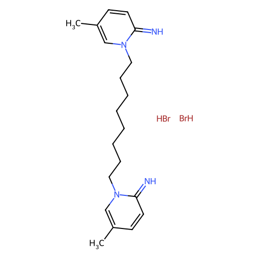 Br.Br.Cc1ccc(=N)n(CCCCCCCCn2cc(C)ccc2=N)c1